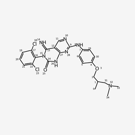 CC(COc1ccc(Nc2ncc3c(=N)n(-c4c(Cl)cccc4Cl)c(=O)[nH]c3n2)cc1)CN(C)C